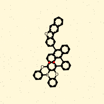 c1ccc2c(c1)Oc1ccc(-c3ccccc3-c3c4ccccc4c(-c4ccc5oc6cc7ccccc7cc6c5c4)c4ccccc34)c3c1B2c1ccccc1O3